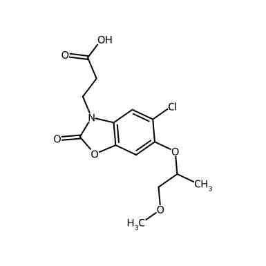 COCC(C)Oc1cc2oc(=O)n(CCC(=O)O)c2cc1Cl